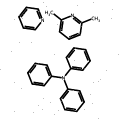 Cc1cccc(C)n1.c1ccc(N(c2ccccc2)c2ccccc2)cc1.c1ccncc1